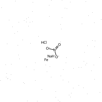 Cl.O=[N+]([O-])[O-].[Fe].[NaH]